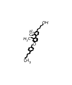 CCCCCc1ccc(COc2ccc(-c3ccc(CCCCO)cc3CC)c(CC)c2)cc1